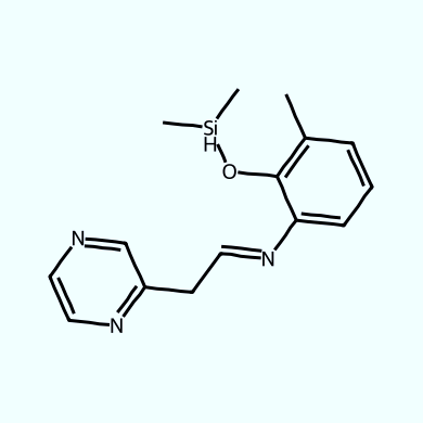 Cc1cccc(N=CCc2cnccn2)c1O[SiH](C)C